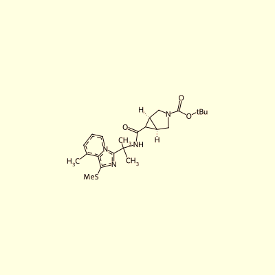 CSc1nc(C(C)(C)NC(=O)C2[C@H]3CN(C(=O)OC(C)(C)C)C[C@@H]23)n2cccc(C)c12